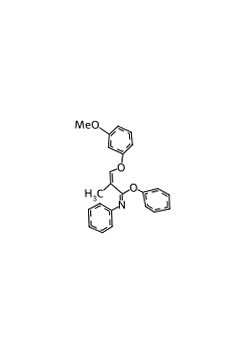 COc1cccc(OC=C(C)/C(=N\c2ccccc2)Oc2ccccc2)c1